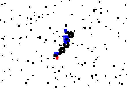 CC(=O)NCc1ccc(-c2ccc3nc(Nc4ccccc4C#N)nn3c2)cc1